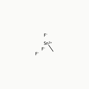 [CH3][Sn+3].[F-].[F-].[F-]